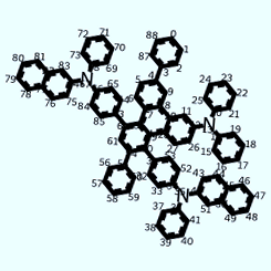 c1ccc(-c2ccc3c(c2)c2cc(N(c4ccccc4)c4ccccc4)ccc2c2c(-c4ccc(N(c5ccccc5)c5ccc6ccccc6c5)cc4)c(-c4ccccc4)cc(-c4ccc(N(c5ccccc5)c5ccc6ccccc6c5)cc4)c32)cc1